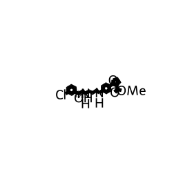 COC(=O)c1ccoc1-c1ccc(NCCCNC[C@@H](O)c2cccc(Cl)c2)cc1